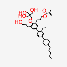 C=C(C)C(=O)OCCCc1cc(-c2ccc(C3CCC(CCCCC)CC3)cc2CC)cc(CCCO)c1OCC(CO)(CO)CO